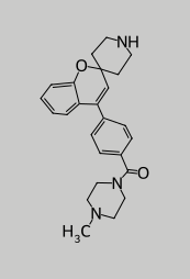 CN1CCN(C(=O)c2ccc(C3=CC4(CCNCC4)Oc4ccccc43)cc2)CC1